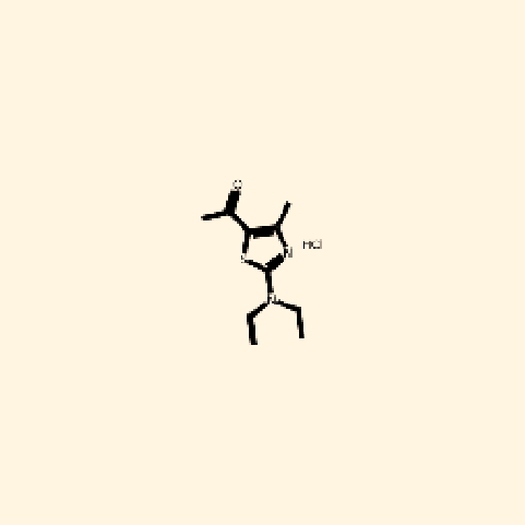 CCN(CC)c1nc(C)c(C(C)=O)s1.Cl